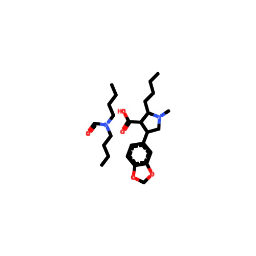 CCCCC1C(C(=O)O)C(c2ccc3c(c2)OCO3)CN1C.CCCCN(C=O)CCCC